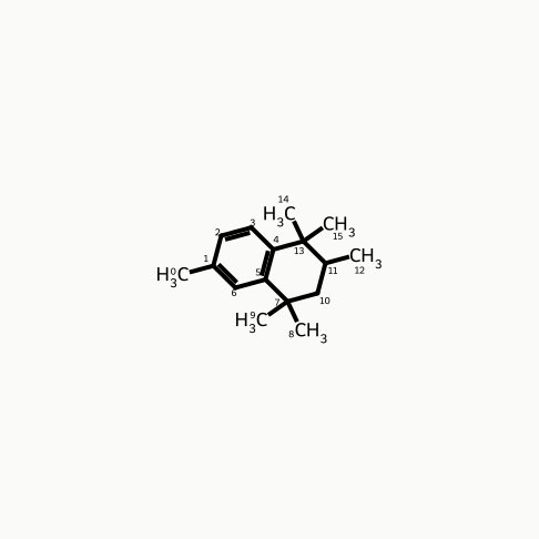 Cc1ccc2c(c1)C(C)(C)CC(C)C2(C)C